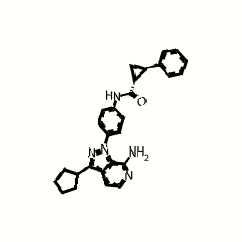 Nc1nccc2c(C3CCCC3)nn(-c3ccc(NC(=O)[C@@H]4C[C@H]4c4ccccc4)cc3)c12